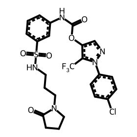 O=C(Nc1cccc(S(=O)(=O)NCCCN2CCCC2=O)c1)Oc1cnn(-c2ccc(Cl)cc2)c1C(F)(F)F